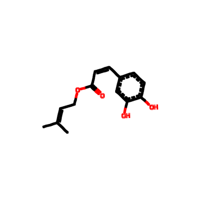 CC(C)=CCOC(=O)/C=C\c1ccc(O)c(O)c1